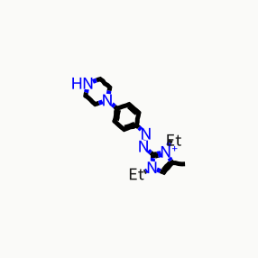 CCn1cc(C)[n+](CC)c1/N=N/c1ccc(N2CCNCC2)cc1